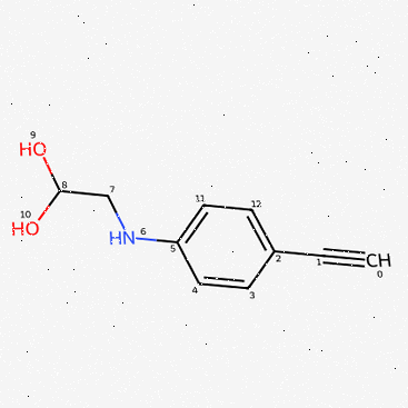 C#Cc1ccc(NCC(O)O)cc1